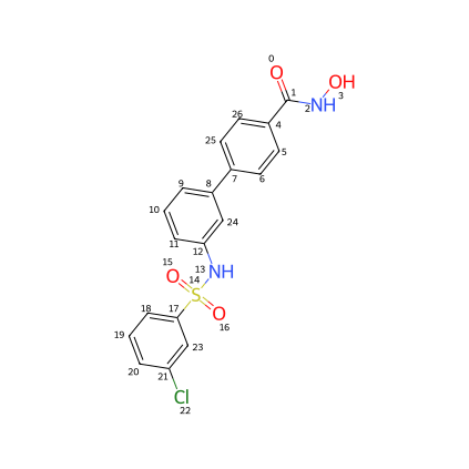 O=C(NO)c1ccc(-c2cccc(NS(=O)(=O)c3cccc(Cl)c3)c2)cc1